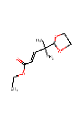 CCOC(=O)C=CC(C)(C)C1OCCO1